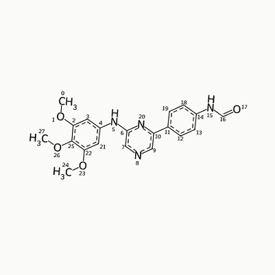 COc1cc(Nc2cncc(-c3ccc(NC=O)cc3)n2)cc(OC)c1OC